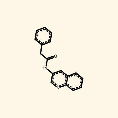 O=C(Cc1ccccc1)Nc1cnc2ccccc2c1